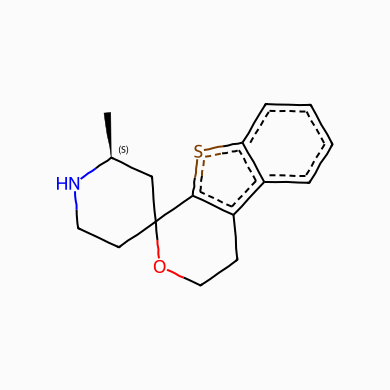 C[C@H]1CC2(CCN1)OCCc1c2sc2ccccc12